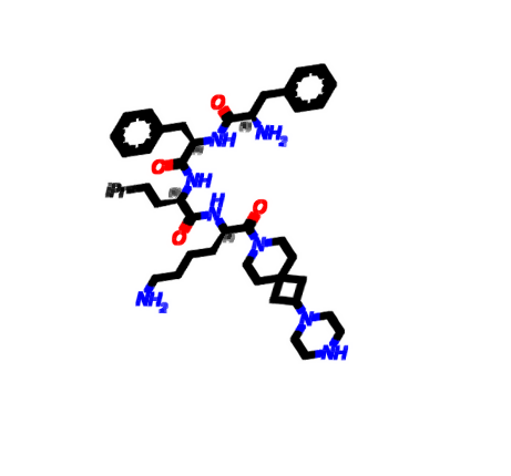 CC(C)CC[C@@H](NC(=O)[C@@H](Cc1ccccc1)NC(=O)[C@H](N)Cc1ccccc1)C(=O)N[C@H](CCCCN)C(=O)N1CCC2(CC1)CC(N1CCNCC1)C2